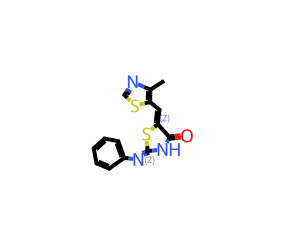 Cc1ncsc1/C=C1\S/C(=N\c2ccccc2)NC1=O